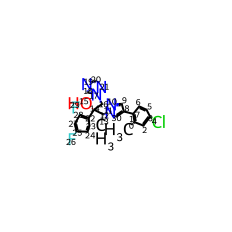 Cc1cc(Cl)ccc1-c1cnn([C@H](C)[C@](O)(Cn2cncn2)c2ccc(F)cc2F)c1